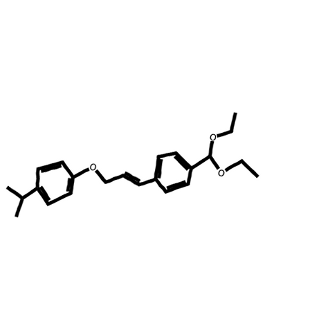 CCOC(OCC)c1ccc(/C=C/COc2ccc(C(C)C)cc2)cc1